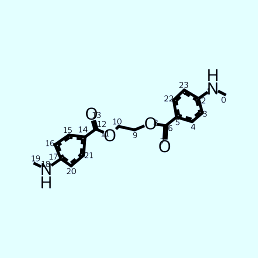 CNc1ccc(C(=O)OCCOC(=O)c2ccc(NC)cc2)cc1